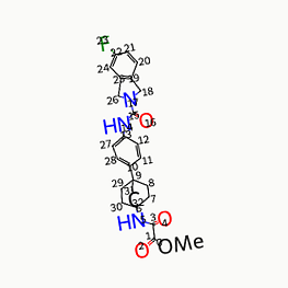 COC(=O)C(=O)NC12CCC(c3ccc(NC(=O)N4Cc5ccc(F)cc5C4)cc3)(CC1)CC2